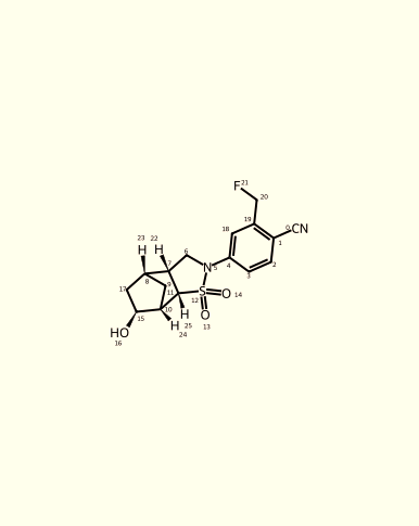 N#Cc1ccc(N2C[C@H]3[C@@H]4C[C@H]([C@H]3S2(=O)=O)[C@@H](O)C4)cc1CF